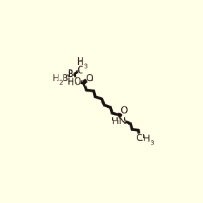 BBC(C)OC(=O)CCCCCCCC(=O)NCCCC